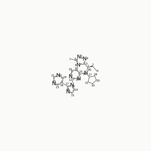 CC[C@@H]1c2nnc(C)n2-c2cnc(-n3ccnc3-c3cncnc3)nc2N1C1CCCC1